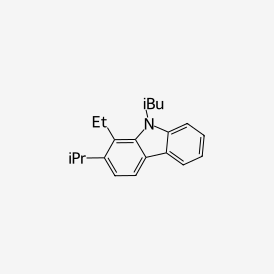 CCc1c(C(C)C)ccc2c3ccccc3n(C(C)CC)c12